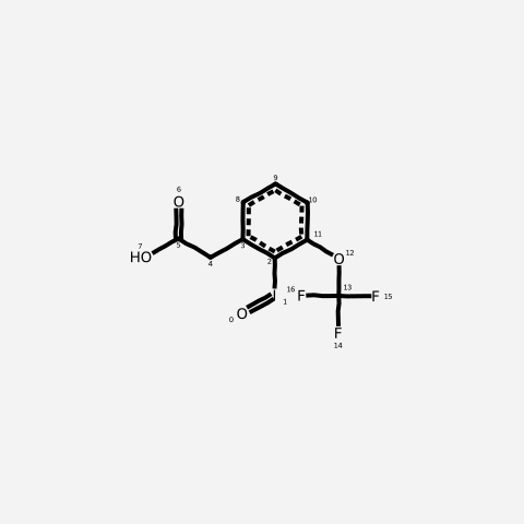 O=Ic1c(CC(=O)O)cccc1OC(F)(F)F